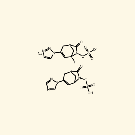 O=C1N2CC(n3ccnn3)=C[C@H](C2)N1OS(=O)(=O)[O-].O=C1N2CC(n3cncn3)=CC(C2)N1OS(=O)(=O)O.[Na+]